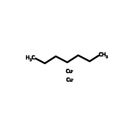 CCCCCCC.[Cu].[Cu]